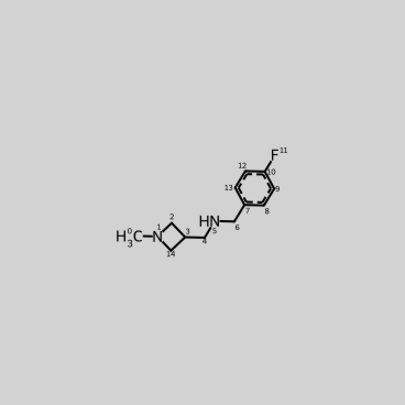 CN1CC(CNCc2ccc(F)cc2)C1